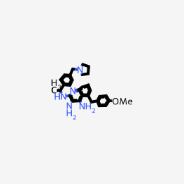 COc1ccc(Cc2cccc3nc(NC(C)c4ccc(CN5CCCC5)cc4)c(N)c(N)c23)cc1